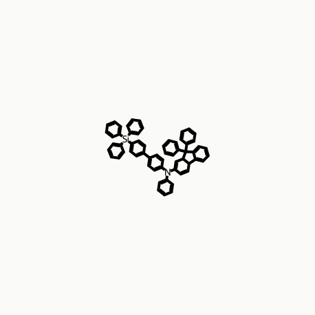 C1=CC2c3ccccc3C(c3ccccc3)(c3ccccc3)C2C=C1N(c1ccccc1)c1ccc(-c2ccc([Si](c3ccccc3)(c3ccccc3)c3ccccc3)cc2)cc1